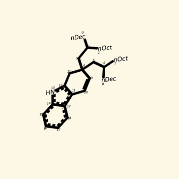 CCCCCCCCCCC(CCCCCCCC)CC1(CC(CCCCCCCC)CCCCCCCCCC)C=Cc2c([nH]c3ccccc23)C1